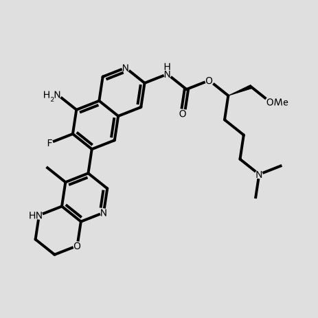 COC[C@@H](CCCN(C)C)OC(=O)Nc1cc2cc(-c3cnc4c(c3C)NCCO4)c(F)c(N)c2cn1